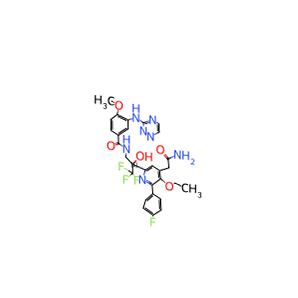 CCOc1c(CC(N)=O)cc([C@@](O)(CNC(=O)c2ccc(OC)c(Nc3nccnn3)c2)C(F)(F)F)nc1-c1ccc(F)cc1